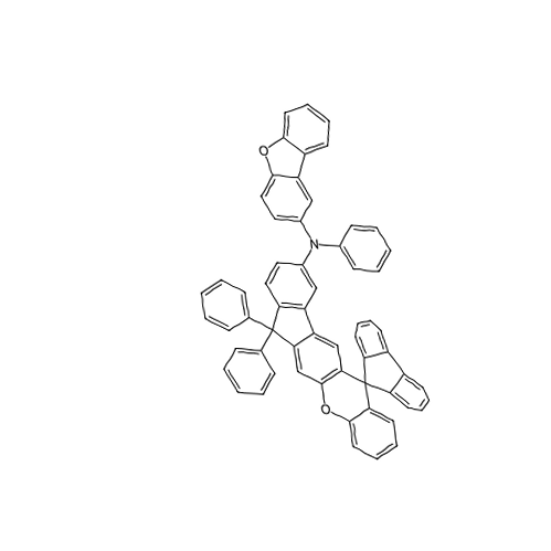 c1ccc(N(c2ccc3c(c2)-c2cc4c(cc2C3(c2ccccc2)c2ccccc2)Oc2ccccc2C42c3ccccc3-c3ccccc32)c2ccc3oc4ccccc4c3c2)cc1